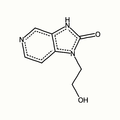 O=c1[nH]c2cnccc2n1CCO